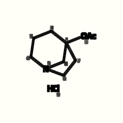 CC(=O)OC12CCCN(CC1)C2.Cl